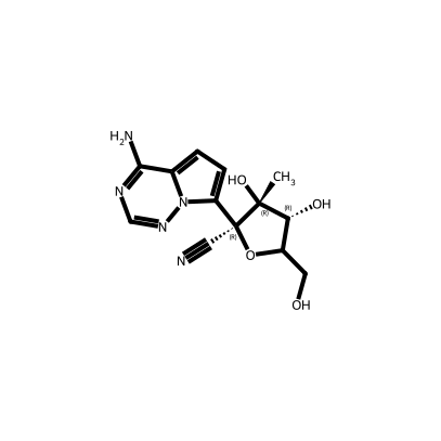 C[C@@]1(O)[C@H](O)C(CO)O[C@@]1(C#N)c1ccc2c(N)ncnn12